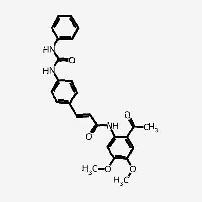 COc1cc(NC(=O)C=Cc2ccc(NC(=O)Nc3ccccc3)cc2)c(C(C)=O)cc1OC